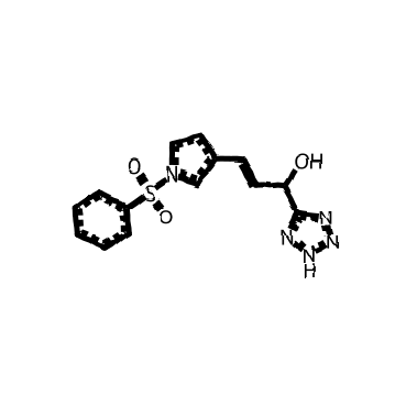 O=S(=O)(c1ccccc1)n1ccc(C=CC(O)c2nn[nH]n2)c1